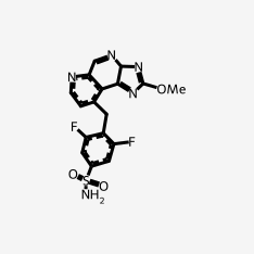 COC1=NC2N=Cc3nccc(Cc4c(F)cc(S(N)(=O)=O)cc4F)c3C2=N1